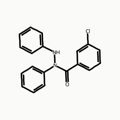 O=C(c1cccc(Cl)c1)N(Nc1ccccc1)c1ccccc1